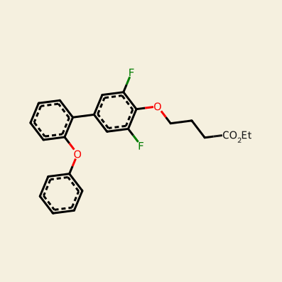 CCOC(=O)CCCOc1c(F)cc(-c2ccccc2Oc2ccccc2)cc1F